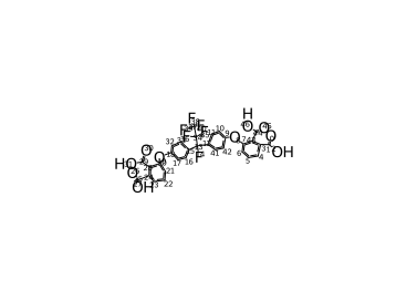 O=C(O)c1cccc(Oc2ccc(C(F)(c3ccc(Oc4cccc(C(=O)O)c4C(=O)O)cc3)C(F)(F)C(F)(F)F)cc2)c1C(=O)O